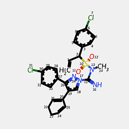 C=CC(c1ccc(Cl)cc1)S(=O)(=O)N(C)C(=N)n1cc(C2=CCCC=C2)c(-c2ccc(Cl)cc2)n1